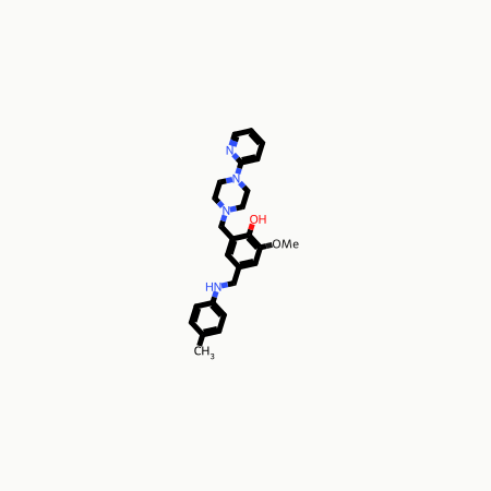 COc1cc(CNc2ccc(C)cc2)cc(CN2CCN(c3ccccn3)CC2)c1O